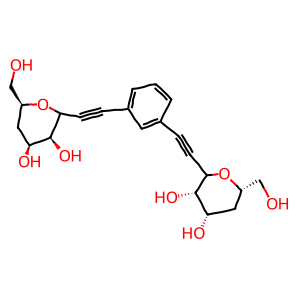 OC[C@@H]1C[C@H](O)[C@H](O)C(C#Cc2cccc(C#CC3O[C@H](CO)C[C@H](O)[C@@H]3O)c2)O1